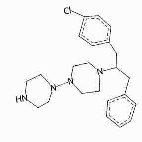 Clc1ccc(CC(Cc2ccccc2)N2CCN(N3CCNCC3)CC2)cc1